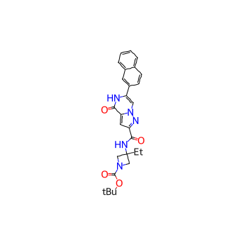 CCC1(NC(=O)c2cc3c(=O)[nH]c(-c4ccc5ccccc5c4)cn3n2)CN(C(=O)OC(C)(C)C)C1